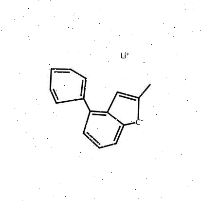 Cc1cc2c(-c3ccccc3)cccc2[cH-]1.[Li+]